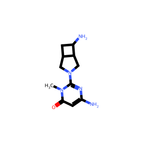 Cn1c(N2CC3CC(N)C3C2)nc(N)[c]c1=O